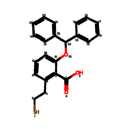 O=C(O)c1c(CCS)cccc1OC(c1ccccc1)c1ccccc1